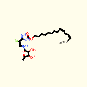 CCCCC/C=C\C/C=C\CCCCCCCCOC(=O)NC(=N)/C(F)=C\NC1OC(C)C(O)C1O